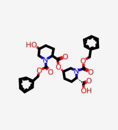 O=C(O[C@@H]1CC[C@@H](C(=O)O)N(C(=O)OCc2ccccc2)C1)C1CCC(O)CN1C(=O)OCc1ccccc1